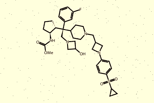 COC(=O)N[C@H]1CCC[C@@H]1[C@](CN1CC(O)C1)(c1cccc(F)c1)C1CCN(CC2CN(c3ccc(S(=O)(=O)C4CC4)cc3)C2)CC1